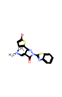 CN(C)/C=C1/C(=O)N(c2nc3ccccc3s2)N=C1c1ccc(Br)s1